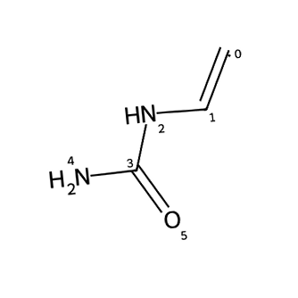 [CH]=CNC(N)=O